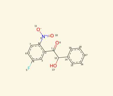 O=C(c1cc(F)ccc1[N+](=O)[O-])C(O)c1ccccc1